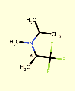 CC(C)N(C)[C@H](C)C(F)(F)F